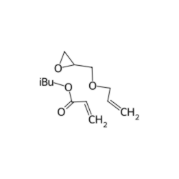 C=CCOCC1CO1.[CH2]CC(C)OC(=O)C=C